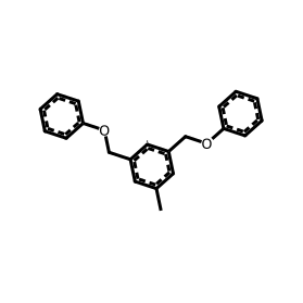 Cc1cc(COc2ccccc2)[c]c(COc2ccccc2)c1